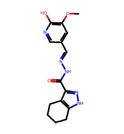 COc1cc(C=NNC(=O)c2n[nH]c3c2CCCC3)cnc1O